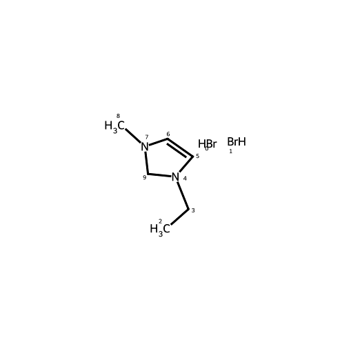 Br.Br.CCN1C=CN(C)C1